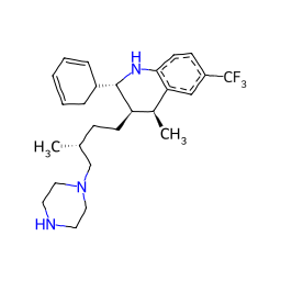 C[C@H](CC[C@@H]1[C@H](C)c2cc(C(F)(F)F)ccc2N[C@H]1C1C=CC=CC1)CN1CCNCC1